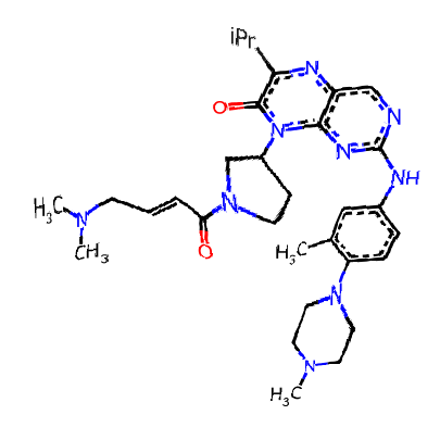 Cc1cc(Nc2ncc3nc(C(C)C)c(=O)n(C4CCN(C(=O)C=CCN(C)C)C4)c3n2)ccc1N1CCN(C)CC1